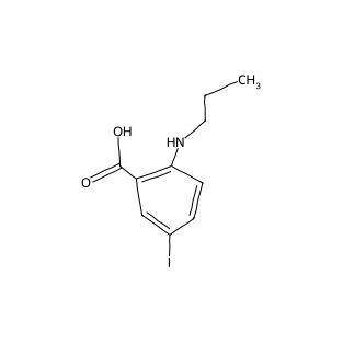 CCCNc1ccc(I)cc1C(=O)O